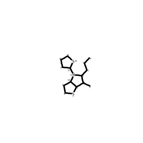 CCCC1C(C)C2SCCC2N1C1CCCS1